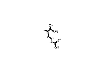 CC(CCSC(=S)S)C(=O)O